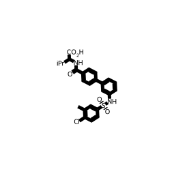 Cc1cc(S(=O)(=O)Nc2cccc(-c3ccc(C(=O)NC(C(=O)O)C(C)C)cc3)c2)ccc1Cl